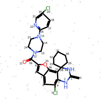 C=C1Nc2c(Cl)cc3cc(C(=O)N4CCN(c5ccc(Cl)cn5)CC4)oc3c2C2(CCCCC2)N1